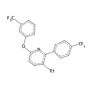 CCc1ccc(Oc2cccc(C(F)(F)F)c2)nc1-c1ccc(C(F)(F)F)cc1